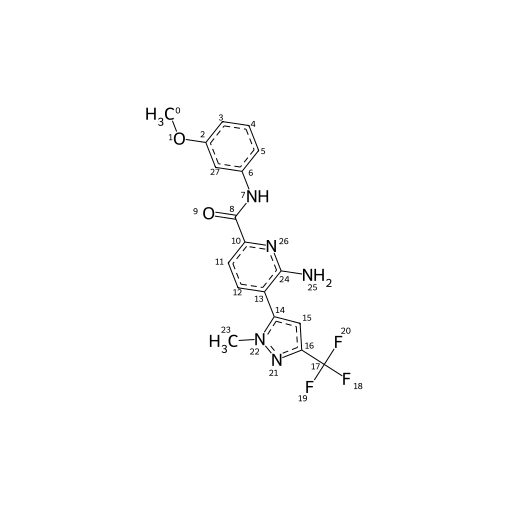 COc1cccc(NC(=O)c2ccc(-c3cc(C(F)(F)F)nn3C)c(N)n2)c1